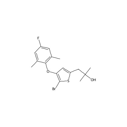 Cc1cc(F)cc(C)c1Oc1cc(CC(C)(C)O)sc1Br